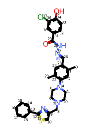 Cc1cc(N2CCN(Cc3csc(-c4ccccc4)n3)CC2)c(C)cc1/C=N/NC(=O)c1ccc(O)c(Cl)c1